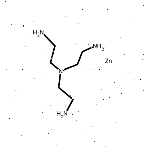 NCCN(CCN)CCN.[Zn]